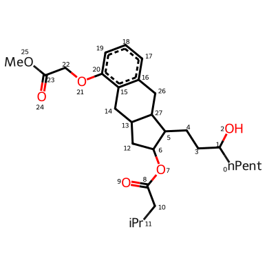 CCCCCC(O)CCC1C(OC(=O)CC(C)C)CC2Cc3c(cccc3OCC(=O)OC)CC21